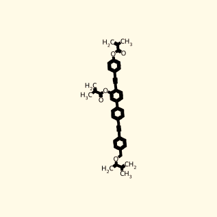 C=C(C)C(=C)OCc1ccc(C#Cc2ccc(-c3ccc(C#Cc4ccc(OC(=O)C(=C)C)cc4)c(OC(=O)C(=C)C)c3)cc2)cc1